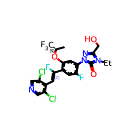 CCn1c(CO)nn(-c2cc(O[C@@H](C)C(F)(F)F)c(/C(F)=C/c3c(Cl)cncc3Cl)cc2F)c1=O